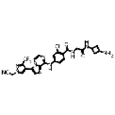 N#CCn1cc(-c2cnc3c(Nc4ccc(C(=O)NCC(=O)NC5CC(N)C5)c(Cl)c4)nccn23)c(C(F)(F)F)n1